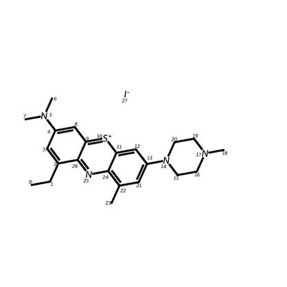 CCc1cc(N(C)C)cc2[s+]c3cc(N4CCN(C)CC4)cc(C)c3nc12.[I-]